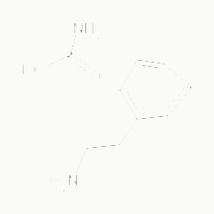 NC(=O)O.NCCc1ccccc1